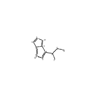 CCC(C)C1=[C]P=C2C=CC=C12